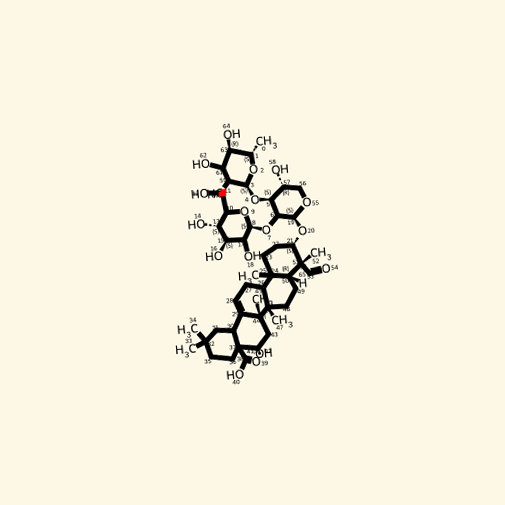 C[C@@H]1O[C@@H](O[C@@H]2C(O[C@@H]3OC(CO)[C@@H](O)[C@H](O)C3O)[C@H](O[C@H]3CCC4(C)C5CC=C6C7CC(C)(C)CCC7(C(=O)O)[C@@H](O)C[C@@]6(C)[C@@]5(C)CC[C@H]4[C@@]3(C)C=O)OC[C@H]2O)C(O)C(O)[C@H]1O